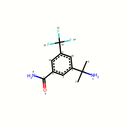 CC(C)(N)c1cc(C(N)=O)cc(C(F)(F)F)c1